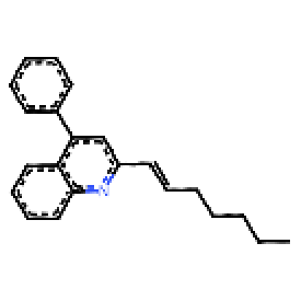 CCCCC/C=C/c1cc(-c2ccccc2)c2ccccc2n1